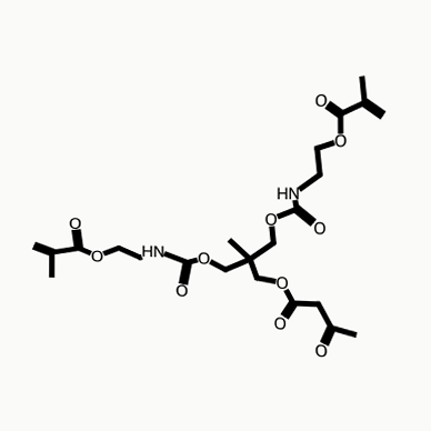 C=C(C)C(=O)OCCNC(=O)OCC(C)(COC(=O)CC(C)=O)COC(=O)NCCOC(=O)C(=C)C